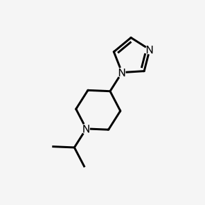 CC(C)N1CCC(n2ccnc2)CC1